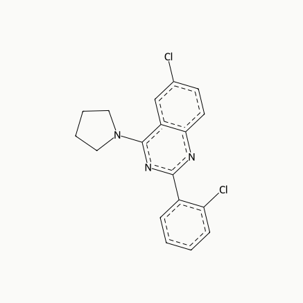 Clc1ccc2nc(-c3ccccc3Cl)nc(N3CCCC3)c2c1